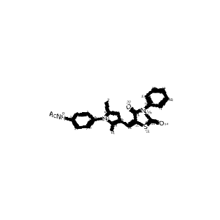 CC(=O)Nc1ccc(-n2c(C)cc(C=C3SC(=O)N(c4ccccc4)C3=O)c2C)cc1